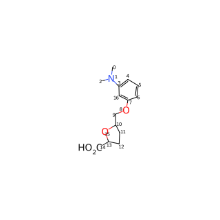 CN(C)c1cccc(OCC2CCC(C(=O)O)O2)c1